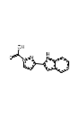 O=C(O)n1ccc(-c2cc3ccccc3[nH]2)n1